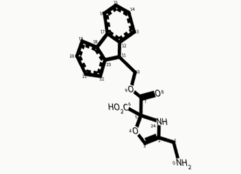 NCC1=COC(C(=O)O)(C(=O)OCC2c3ccccc3-c3ccccc32)N1